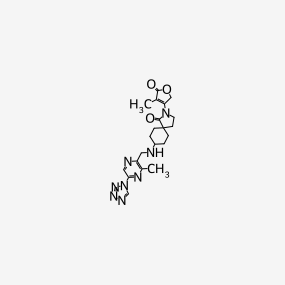 CC1=C(N2CCC3(CCC(NCc4ncc(-n5cnnn5)nc4C)CC3)C2=O)COC1=O